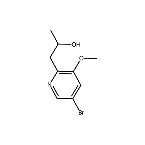 COc1cc(Br)cnc1CC(C)O